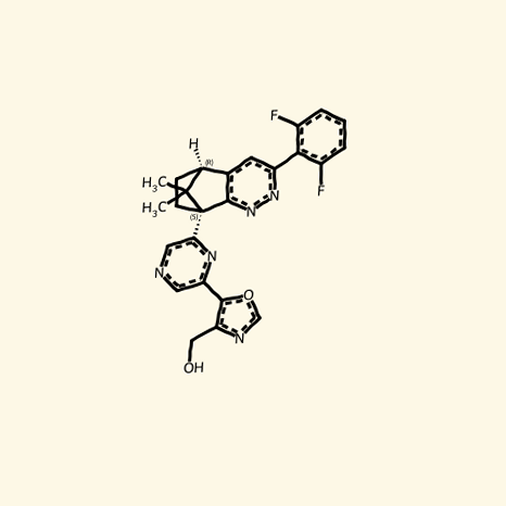 CC1(C)[C@H]2CC[C@]1(c1cncc(-c3ocnc3CO)n1)c1nnc(-c3c(F)cccc3F)cc12